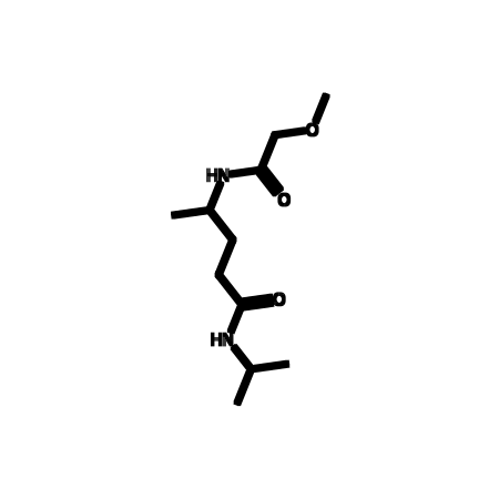 COCC(=O)NC(C)CCC(=O)NC(C)C